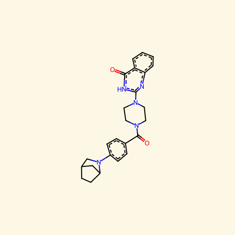 O=C(c1ccc(N2CC3CCC2C3)cc1)N1CCN(c2nc3ccccc3c(=O)[nH]2)CC1